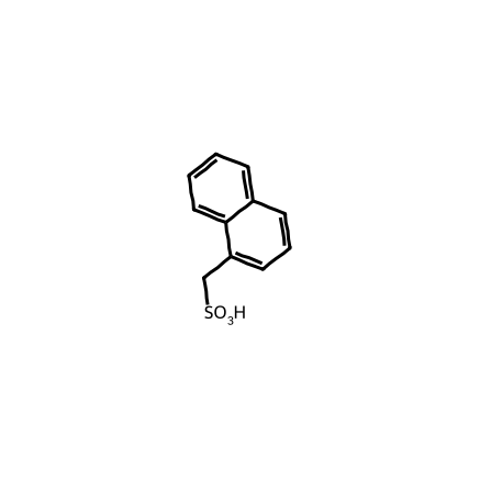 O=S(=O)(O)Cc1cccc2ccccc12